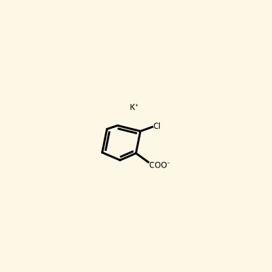 O=C([O-])c1ccccc1Cl.[K+]